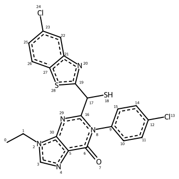 CCn1cnc2c(=O)n(-c3ccc(Cl)cc3)c(C(S)c3nc4cc(Cl)ccc4s3)nc21